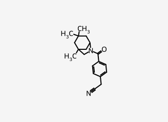 CC1(C)CC2CC(C)(CN2C(=O)c2ccc(CC#N)cc2)C1